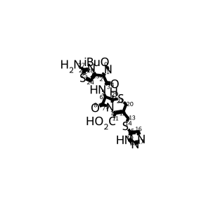 CC(C)CO/N=C(/C(=O)NC1C(=O)N2C(C(=O)O)=C(CSc3cnn[nH]3)CS[C@H]12)c1csc(N)n1